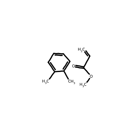 C=CC(=O)OC.Cc1ccccc1C